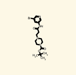 CC(C)(C)OC(=O)N1CCN(CCC(=O)Nc2cncc(Br)c2)CC1